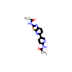 CC(=O)Nc1ccc(-c2ccc3nc(NC(C)=O)sc3n2)cn1